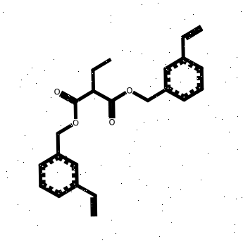 C=Cc1cccc(COC(=O)C(CC)C(=O)OCc2cccc(C=C)c2)c1